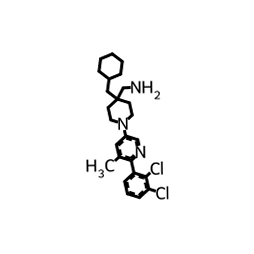 Cc1cc(N2CCC(CN)(CC3CCCCC3)CC2)cnc1-c1cccc(Cl)c1Cl